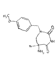 COc1ccc(CN2CC(N)(Br)C(=O)NC2=O)cc1